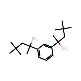 BC(C)(CC(C)(C)C)c1cccc(C(B)(C)CC(C)(C)C)c1